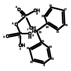 O=P(O)(O)OP(=O)(O)O.c1ccc(Nc2ccccc2)cc1